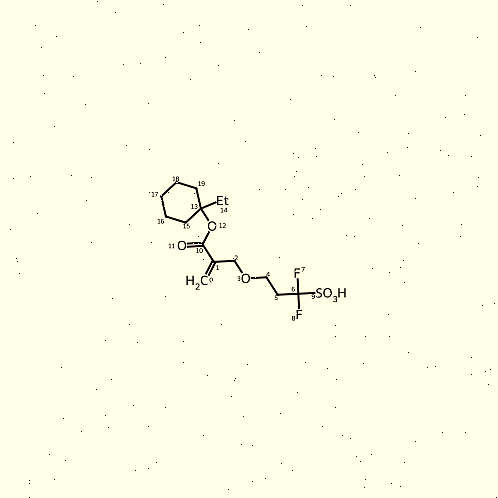 C=C(COCCC(F)(F)S(=O)(=O)O)C(=O)OC1(CC)CCCCC1